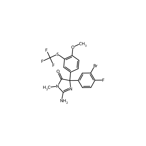 COc1ccc(C2(c3ccc(F)c(Br)c3)N=C(N)N(C)C2=O)cc1SC(F)(F)F